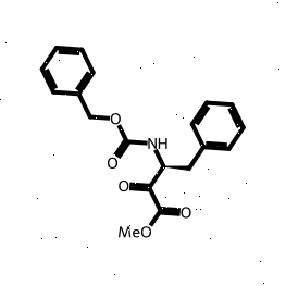 COC(=O)C(=O)[C@H](Cc1ccccc1)NC(=O)OCc1ccccc1